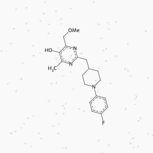 COCc1nc(CC2CCN(c3ccc(F)cc3)CC2)nc(C)c1O